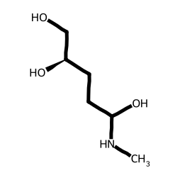 CNC(O)CC[C@@H](O)CO